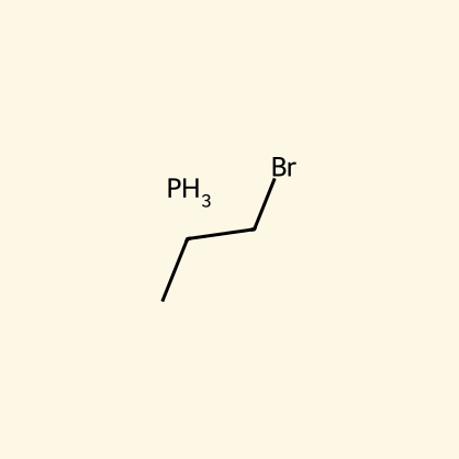 CCCBr.P